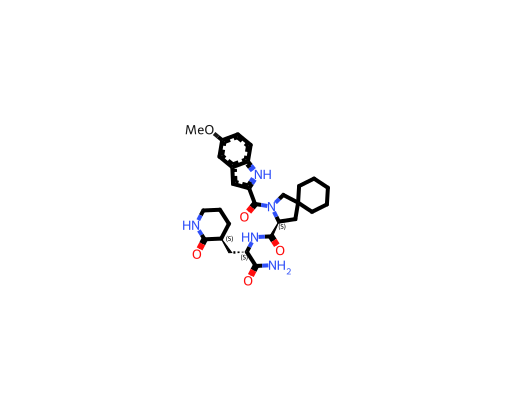 COc1ccc2[nH]c(C(=O)N3CC4(CCCCC4)C[C@H]3C(=O)N[C@@H](C[C@@H]3CCCNC3=O)C(N)=O)cc2c1